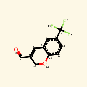 O=CC1=Cc2cc(C(F)(F)F)ccc2OC1